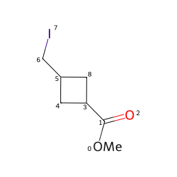 COC(=O)C1CC(CI)C1